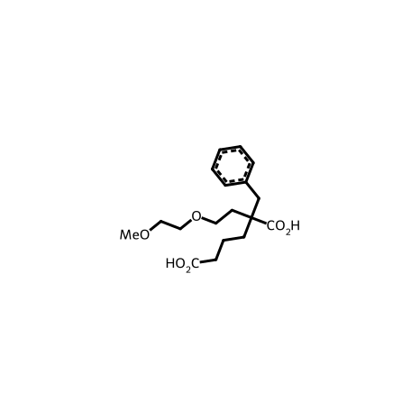 COCCOCCC(CCCC(=O)O)(Cc1ccccc1)C(=O)O